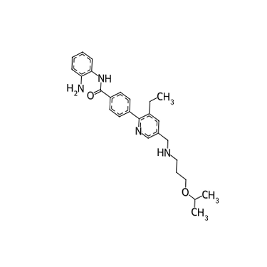 CCc1cc(CNCCCOC(C)C)cnc1-c1ccc(C(=O)Nc2ccccc2N)cc1